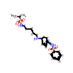 CC(C)S(=O)(=O)NCCCCCNc1ccc(NS(=O)(=O)c2ccccc2)cc1